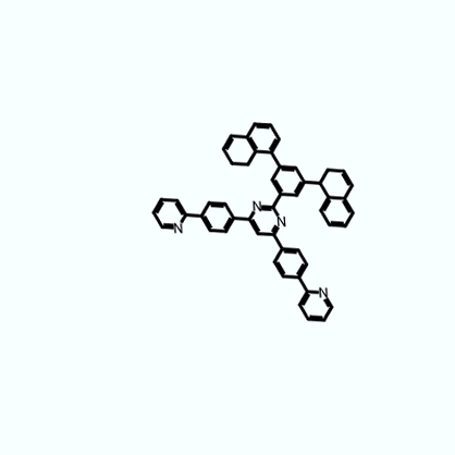 C1=Cc2cccc(-c3cc(-c4nc(-c5ccc(-c6ccccn6)cc5)cc(-c5ccc(-c6ccccn6)cc5)n4)cc(C4CC=Cc5ccccc54)c3)c2CC1